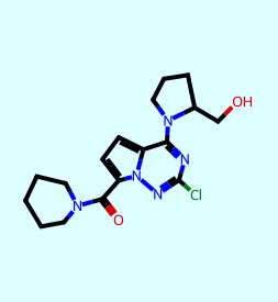 O=C(c1ccc2c(N3CCCC3CO)nc(Cl)nn12)N1CCCCC1